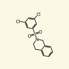 O=S(=O)(c1cc(Cl)cc(Cl)c1)N1CCc2ccccc2C1